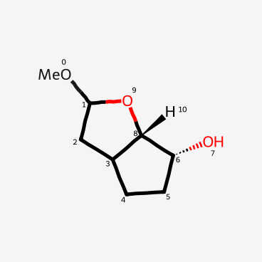 COC1CC2CC[C@@H](O)[C@H]2O1